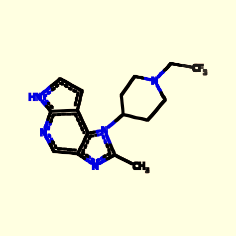 Cc1nc2cnc3[nH]ccc3c2n1C1CCN(CC(F)(F)F)CC1